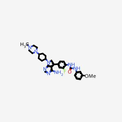 COc1cccc(NC(=O)Nc2ccc(-c3cn(C4CCC(N5CCN(C)CC5)CC4)c4ncnc(N)c34)cc2F)c1